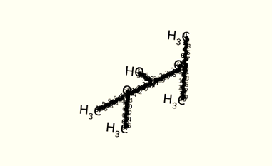 CCCCCCCCCCN(CCCCCCCCCC)C(=O)CCCCCCCCCN(CCCCO)CCCCCCCC(=O)N(CCCCCCCCCC)CCCCCCCCCC